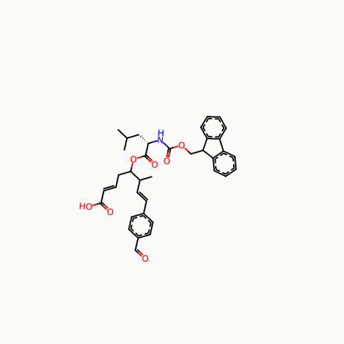 CC(C)C[C@H](NC(=O)OCC1c2ccccc2-c2ccccc21)C(=O)OC(C/C=C/C(=O)O)C(C)/C=C/c1ccc(C=O)cc1